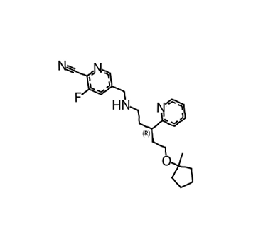 CC1(OCC[C@@H](CCNCc2cnc(C#N)c(F)c2)c2ccccn2)CCCC1